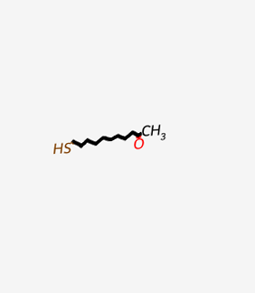 CC(=O)CCCCCCCCCS